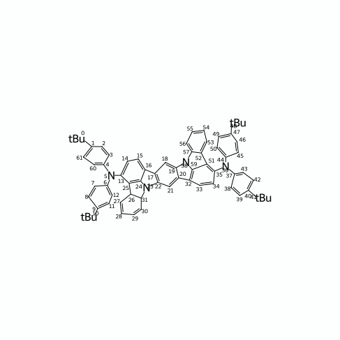 CC(C)(C)c1ccc(N(c2ccc(C(C)(C)C)cc2)c2ccc3c4cc5c(cc4n4c3c2C2C=CC=CC24)c2ccc(N(c3ccc(C(C)(C)C)cc3)c3ccc(C(C)(C)C)cc3)c3c4ccccc4n5c23)cc1